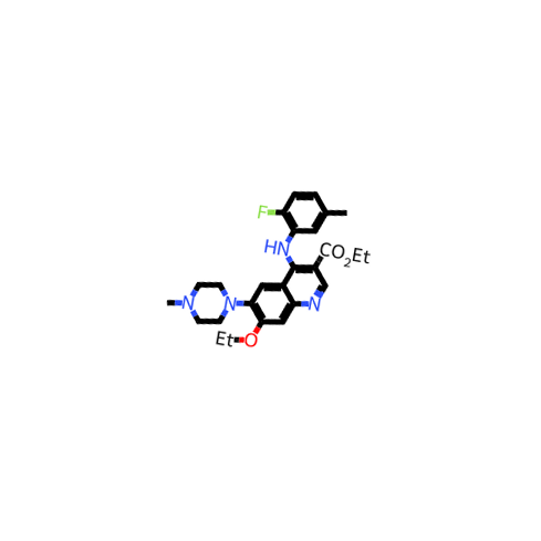 CCOC(=O)c1cnc2cc(OCC)c(N3CCN(C)CC3)cc2c1Nc1cc(C)ccc1F